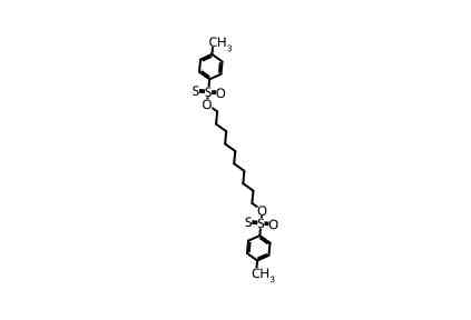 Cc1ccc(S(=O)(=S)OCCCCCCCCCCOS(=O)(=S)c2ccc(C)cc2)cc1